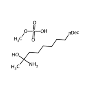 CCCCCCCCCCCCCCCCC(C)(N)O.COS(=O)(=O)O